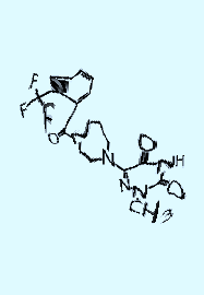 Cn1nc(N2CCN(C(=O)c3ccccc3C(F)(F)F)CC2)c(=O)[nH]c1=O